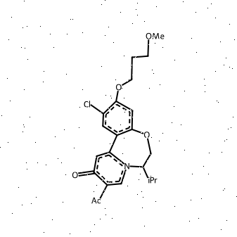 COCCCOc1cc2c(cc1Cl)-c1cc(=O)c(C(C)=O)cn1C(C(C)C)CO2